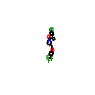 O=C(N1CCC[C@H](CCOc2ccc(C(F)(F)F)cc2)C1)C1(c2ccc(Cl)cc2)CCC1